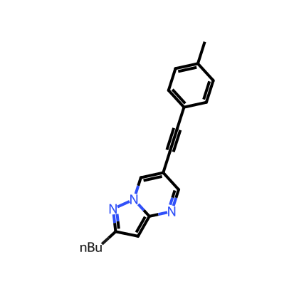 CCCCc1cc2ncc(C#Cc3ccc(C)cc3)cn2n1